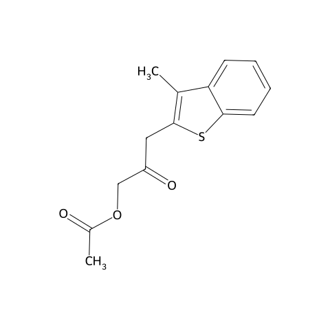 CC(=O)OCC(=O)Cc1sc2ccccc2c1C